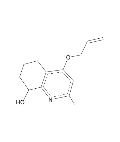 C=CCOc1cc(C)nc2c1CCCC2O